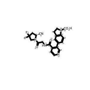 N#C[C@H]1CC(F)(F)CN1C(=O)CNC(=O)c1ccncc1-c1ccc2c(c1)CCN2C(=O)O